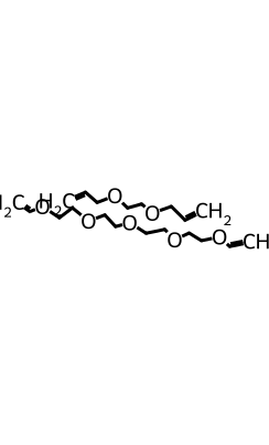 C=CCOCCOCC=C.C=COCCOCCOCCOCCOC=C